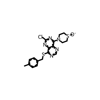 Cc1ccc(CSc2ncnc3c(N4CC[S+]([O-])CC4)nc(Cl)nc23)cc1